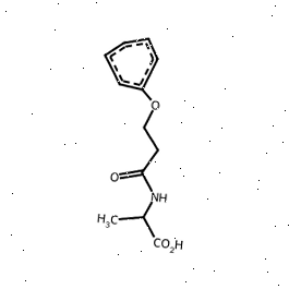 CC(NC(=O)CCOc1ccccc1)C(=O)O